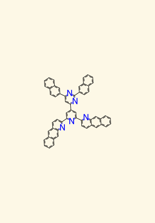 c1ccc2cc(-c3cc(-c4cc(-c5ccc6cc7ccccc7cc6n5)nc(-c5ccc6cc7ccccc7cc6n5)c4)nc(-c4ccc5ccccc5c4)n3)ccc2c1